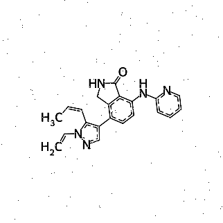 C=Cn1ncc(-c2ccc(Nc3ccccn3)c3c2CNC3=O)c1/C=C\C